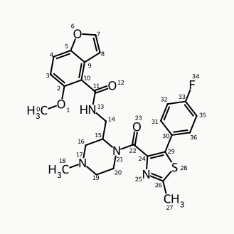 COc1ccc2occc2c1C(=O)NCC1CN(C)CCN1C(=O)c1nc(C)sc1-c1ccc(F)cc1